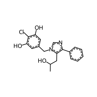 CC(O)Cc1c(-c2ccccc2)ncn1Cc1cc(O)c(Cl)c(O)c1